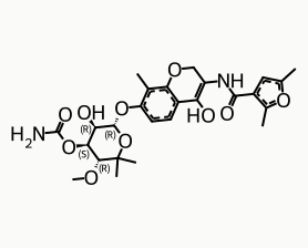 CO[C@@H]1[C@@H](OC(N)=O)[C@@H](O)[C@H](Oc2ccc3c(c2C)OCC(NC(=O)c2cc(C)oc2C)=C3O)OC1(C)C